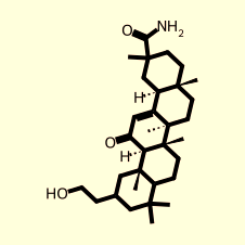 CC1(C(N)=O)CC[C@]2(C)CC[C@]3(C)C(=CC(=O)[C@@H]4[C@@]5(C)CC(CCO)CC(C)(C)C5CC[C@]43C)[C@H]2C1